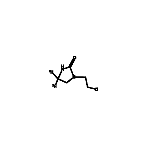 [2H]C1([2H])CN(CCCl)C(=O)N1